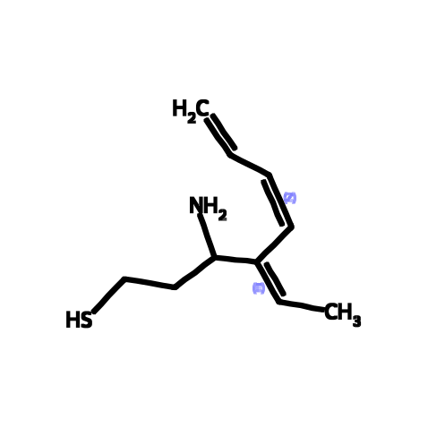 C=C/C=C\C(=C/C)C(N)CCS